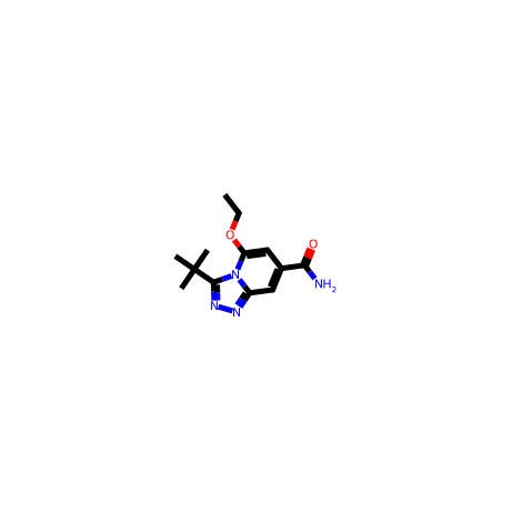 CCOc1cc(C(N)=O)cc2nnc(C(C)(C)C)n12